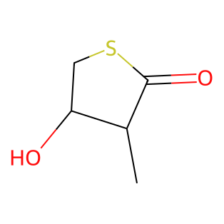 CC1C(=O)SCC1O